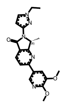 CCn1ccc(N2C(=O)c3ccc(-c4cnc(OC)c(OC)c4)nc3[C@H]2C)n1